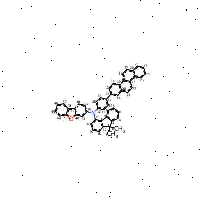 CC1(C)c2ccccc2-c2c(N(c3ccc(-c4ccc5c(ccc6c7ccccc7ccc56)c4)cc3)c3ccc4c(c3)oc3ccccc34)cccc21